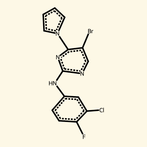 Fc1ccc(Nc2ncc(Br)c(-n3cccc3)n2)cc1Cl